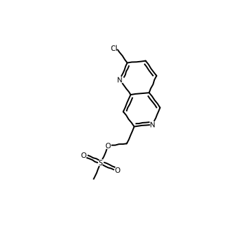 CS(=O)(=O)OCc1cc2nc(Cl)ccc2cn1